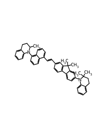 CC1CCc2ccccc2N1c1cccc2c(/C=C/c3ccc4c(c3)C(C)(C)c3cc(N5c6ccccc6CCC5(C)C)ccc3-4)cccc12